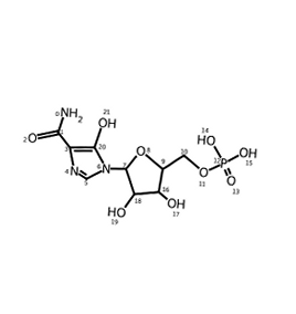 NC(=O)c1ncn(C2OC(COP(=O)(O)O)C(O)C2O)c1O